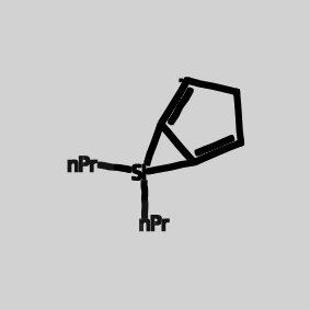 CCC[Si]1(CCC)C2=[C]CC=C21